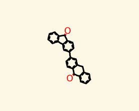 O=C1c2ccccc2Cc2cc(-c3ccc4c(c3)-c3ccccc3C4=O)ccc21